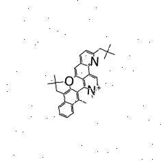 Cc1c2c(c(CC(C)(C)C)c3ccccc13)Oc1cc3ccc(CC(C)(C)C)nc3c3cc[n+](C)c-2c13